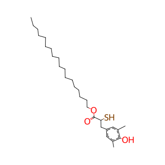 CCCCCCCCCCCCCCCCCCOC(=O)C(S)Cc1cc(C)c(O)c(C)c1